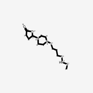 CSNSCCCSN1CCN(C2CCC(=O)O2)CC1